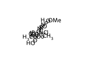 COCOc1ccc(C(=O)Nc2ccc3nc(C(=O)N4C[C@@H](CCl)c5c4cc(OC(=O)N(CCOCCO)CCN(C)C(=O)OC(C)(C)C)c4cccc(C)c54)cn3c2)cc1